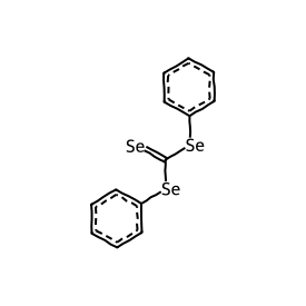 [Se]=C([Se]c1ccccc1)[Se]c1ccccc1